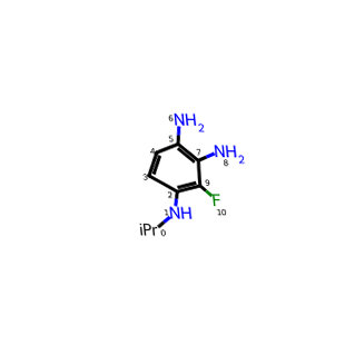 CC(C)Nc1ccc(N)c(N)c1F